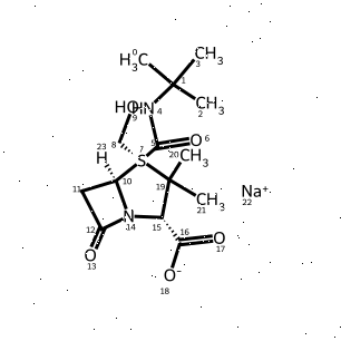 CC(C)(C)NC(=O)[S@]1(CO)[C@@H]2CC(=O)N2[C@@H](C(=O)[O-])C1(C)C.[Na+]